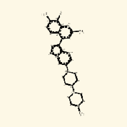 Cc1cc(-c2cnn3cc(N4CCC(N5CCN(C)CC5)CC4)cnc23)c2ccc(C)c(F)c2n1